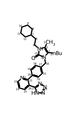 CCCCc1c(C)n(CCC2CCCCC2)c(=O)n1Cc1ccc(-c2ncccc2-c2nnn[nH]2)cc1